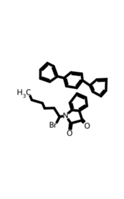 CCCCCC(Br)N1C(=O)C(=O)c2ccccc21.c1ccc(-c2ccc(-c3ccccc3)cc2)cc1